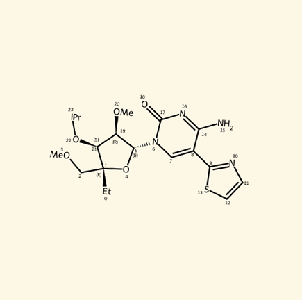 CC[C@]1(COC)O[C@@H](n2cc(-c3nccs3)c(N)nc2=O)[C@H](OC)[C@@H]1OC(C)C